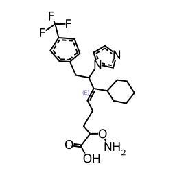 NOC(CC/C=C(\C1CCCCC1)C(Cc1ccc(C(F)(F)F)cc1)n1ccnc1)C(=O)O